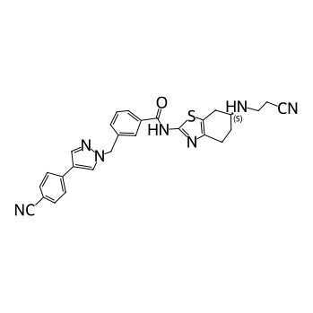 N#CCCN[C@H]1CCc2nc(NC(=O)c3cccc(Cn4cc(-c5ccc(C#N)cc5)cn4)c3)sc2C1